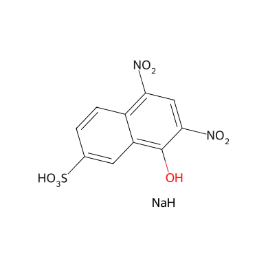 O=[N+]([O-])c1cc([N+](=O)[O-])c2ccc(S(=O)(=O)O)cc2c1O.[NaH]